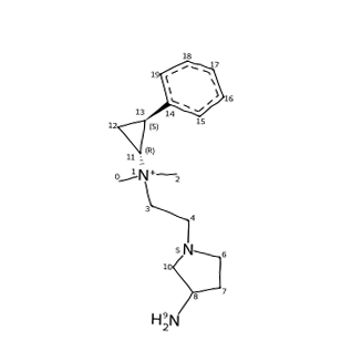 C[N+](C)(CCN1CCC(N)C1)[C@@H]1C[C@H]1c1ccccc1